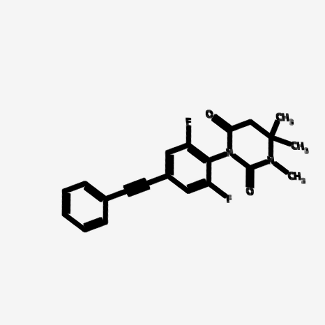 CN1C(=O)N(c2c(F)cc(C#Cc3ccccc3)cc2F)C(=O)CC1(C)C